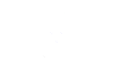 N#Cc1ccc(F)c(-c2nc(-c3ccccc3)nc(-c3cc(Cl)ccc3F)n2)c1